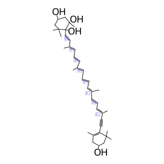 CC1=C(C#C/C(C)=C/C=C/C(C)=C/C=C/C=C(C)/C=C/C=C(C)/C=C/C2(O)C(C)(C)CC(O)CC2(C)O)C(C)(C)CC(O)C1